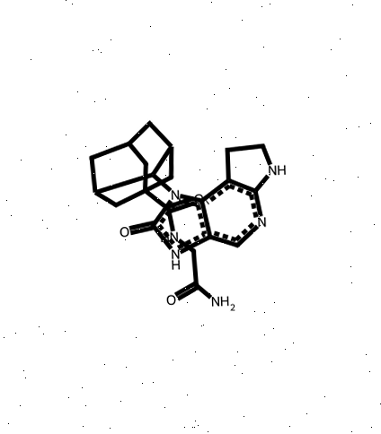 NC(=O)CNC(=O)C12CC3CC(C1)C(n1c(=O)[nH]c4cnc5c(c41)CCN5)C(C3)C2